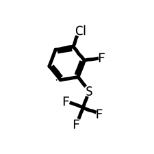 Fc1c(SC(F)(F)F)[c]ccc1Cl